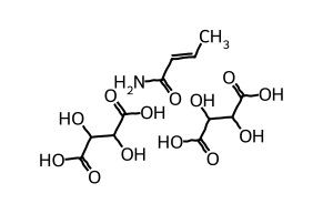 CC=CC(N)=O.O=C(O)C(O)C(O)C(=O)O.O=C(O)C(O)C(O)C(=O)O